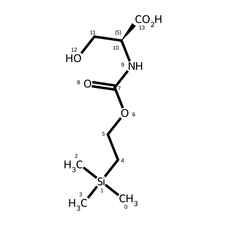 C[Si](C)(C)CCOC(=O)N[C@@H](CO)C(=O)O